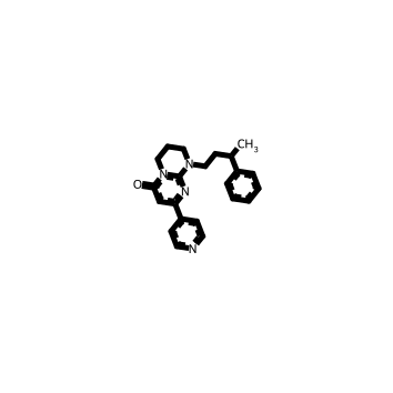 CC(CCN1CCCn2c1nc(-c1ccncc1)cc2=O)c1ccccc1